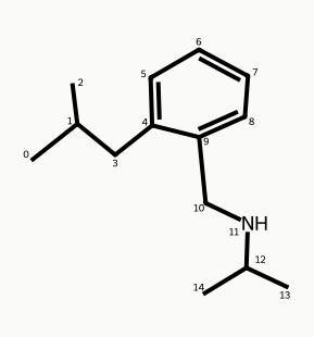 CC(C)Cc1ccccc1CNC(C)C